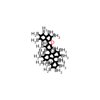 Bc1c(B)c(B)c(-c2c3c(B)c(B)c(B)c(B)c3c(-c3c(B)c(B)c4c(oc5c(B)c(B)c6c(B)c(B)c(B)c(B)c6c54)c3B)c3c(B)c(B)c(B)c(B)c23)c(B)c1B